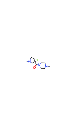 CN1CCN(C(=O)C2(F)CCN(C)C2)CC1